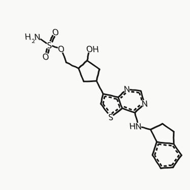 NS(=O)(=O)OCC1CC(c2csc3c(NC4CCc5ccccc54)ncnc23)CC1O